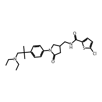 CCN(CC)CC(C)(C)c1ccc(N2CC(CNC(=O)c3ccc(Cl)s3)CC2=O)cc1